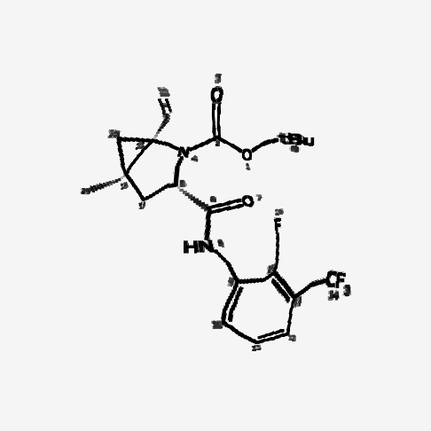 CC(C)(C)OC(=O)N1[C@H](C(=O)Nc2cccc(C(F)(F)F)c2F)C[C@@]2(C)C[C@@H]12